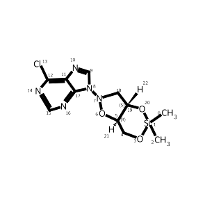 C[Si]1(C)OC[C@H]2ON(n3cnc4c(Cl)ncnc43)C[C@@H]2O1